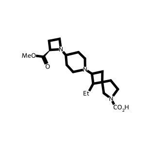 CCC1C(N2CCC(N3CC[C@@H]3C(=O)OC)CC2)CC12CCN(C(=O)O)C2